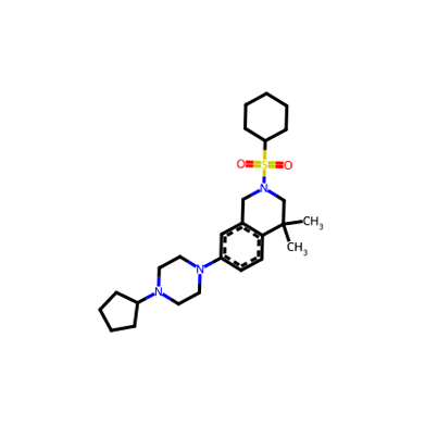 CC1(C)CN(S(=O)(=O)C2CCCCC2)Cc2cc(N3CCN(C4CCCC4)CC3)ccc21